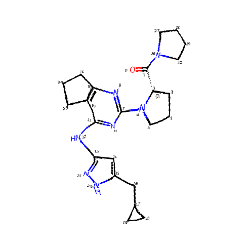 O=C([C@@H]1CCCN1c1nc2c(c(Nc3cc(CC4CC4)[nH]n3)n1)CCC2)N1CCCC1